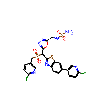 NS(=O)(=O)NCc1nnc(C(c2nc3ccc(-c4ccc(F)nc4)cc3s2)S(=O)(=O)Cc2ccc(F)nc2)o1